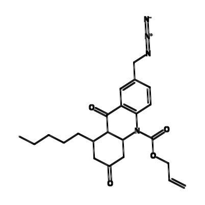 C=CCOC(=O)N1c2ccc(CN=[N+]=[N-])cc2C(=O)C2C(CCCCC)CC(=O)CC21